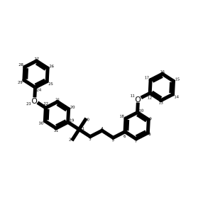 CC(C)(CCCc1cccc(Oc2ccccc2)c1)c1ccc(Oc2ccccc2)cc1